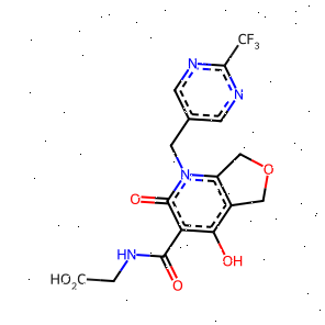 O=C(O)CNC(=O)c1c(O)c2c(n(Cc3cnc(C(F)(F)F)nc3)c1=O)COC2